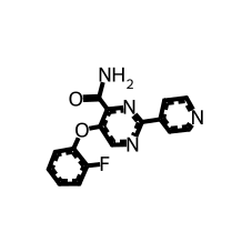 NC(=O)c1nc(-c2ccncc2)ncc1Oc1ccccc1F